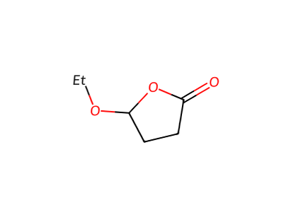 CCOC1CCC(=O)O1